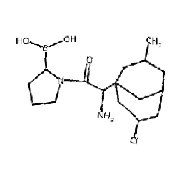 CC1CC2CC(Cl)CC(C(N)C(=O)N3CCCC3B(O)O)(C1)C2